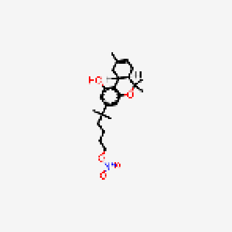 CC1=CC[C@@H]2[C@@H](C1)c1c(O)cc(C(C)(C)CCCCO[N+](=O)[O-])cc1OC2(C)C